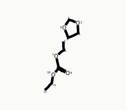 C1COCO1.CCOC(=O)OCC